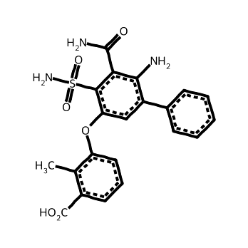 Cc1c(Oc2cc(-c3ccccc3)c(N)c(C(N)=O)c2S(N)(=O)=O)cccc1C(=O)O